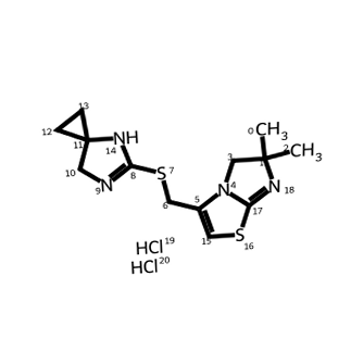 CC1(C)CN2C(CSC3=NCC4(CC4)N3)=CSC2=N1.Cl.Cl